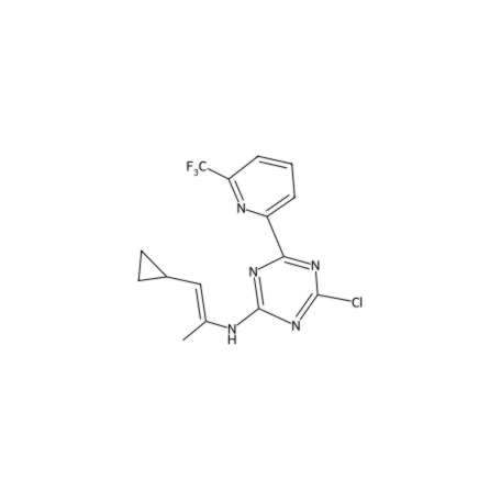 CC(=CC1CC1)Nc1nc(Cl)nc(-c2cccc(C(F)(F)F)n2)n1